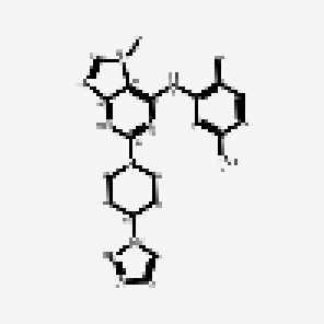 Cc1ccc(C(C)(C)C)cc1Nc1nc(N2CCC(n3ccnn3)CC2)nc2ncn(C)c12